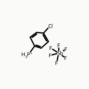 [F][Sb-]([F])([F])([F])([F])[F].[PH3+]c1ccc(Cl)cc1